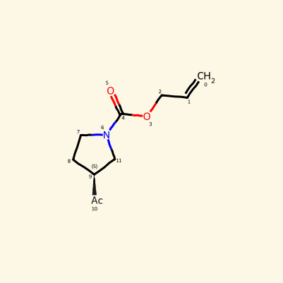 C=CCOC(=O)N1CC[C@H](C(C)=O)C1